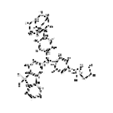 CC1(C)c2ccccc2-c2cc(N(c3ccc(C4CC5CCC4C5)cc3)c3ccc(C45CC6CC(CC(C6)C4)C5)cc3)ccc21